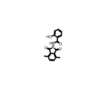 Cc1ccc(C)c2c1C(=O)N(NC(=O)c1ccccc1O)C2=O